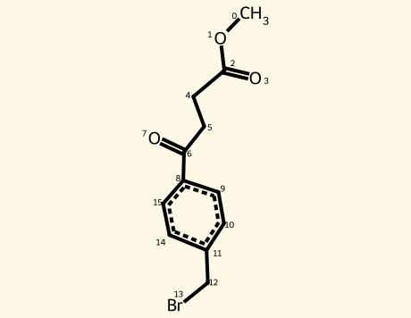 COC(=O)CCC(=O)c1ccc(CBr)cc1